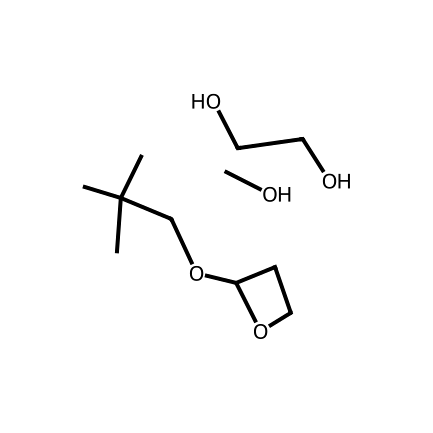 CC(C)(C)COC1CCO1.CO.OCCO